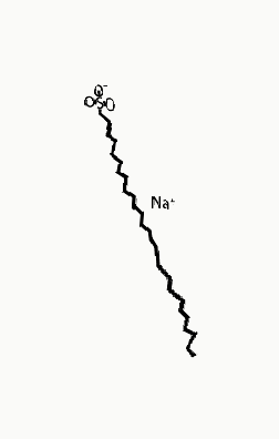 CCCCCCCCCCCCCCCCCCCCCCCC=CCS(=O)(=O)[O-].[Na+]